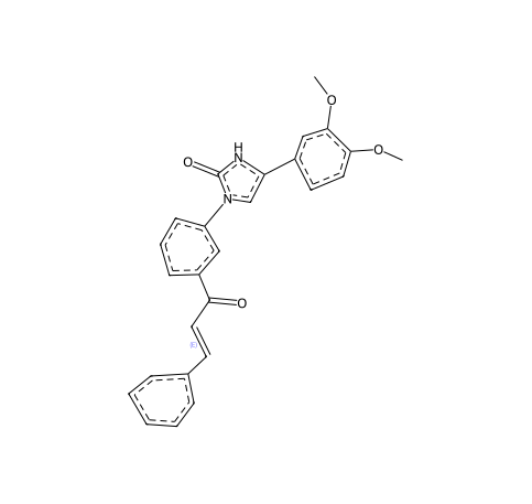 COc1ccc(-c2cn(-c3cccc(C(=O)/C=C/c4ccccc4)c3)c(=O)[nH]2)cc1OC